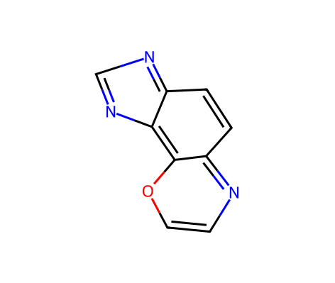 c1coc2c(ccc3ncnc32)n1